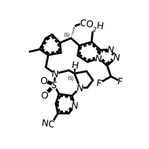 Cc1ccc([C@H](CC(=O)O)c2ccn3c(C(F)F)nnc3c2C)cc1CN1C[C@@H]2CCCN2c2ncc(C#N)cc2S1(=O)=O